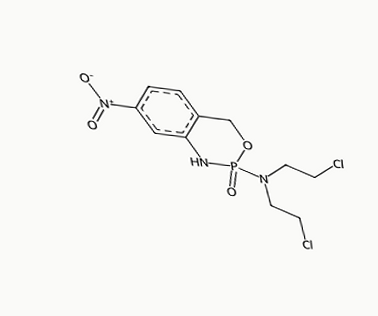 O=[N+]([O-])c1ccc2c(c1)NP(=O)(N(CCCl)CCCl)OC2